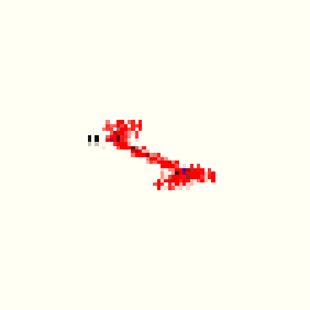 CN(CCOCCOCCOCCOCCOCCOCCOCCOCCN(C[C@H](O)[C@@H](O)[C@H](O)[C@H](O)CO)C[C@H](O)[C@@H](O)[C@H](O)[C@H](O)CO)C[C@H](O)[C@@H](O)[C@H](O)[C@H](O)CO